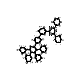 c1ccc(-c2nc(-c3ccccc3)nc(-c3cccc(-c4ccc(-c5cc(-c6ccccc6)c(-c6ccccc6)c(-c6ccccc6)c5-c5ccccc5)cc4)c3)n2)cc1